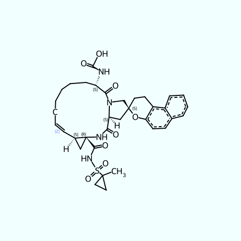 CC1(S(=O)(=O)NC(=O)[C@@]23C[C@H]2/C=C\CCCCC[C@H](NC(=O)O)C(=O)N2C[C@]4(CCc5c(ccc6ccccc56)O4)C[C@H]2C(=O)N3)CC1